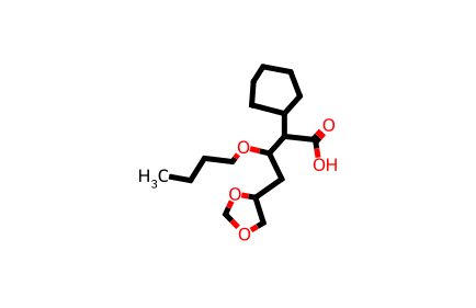 CCCCOC(CC1COCO1)C(C(=O)O)C1CCCCC1